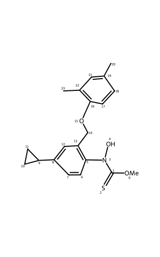 COC(=S)N(O)c1ccc(C2CC2)cc1COc1ccc(C)cc1C